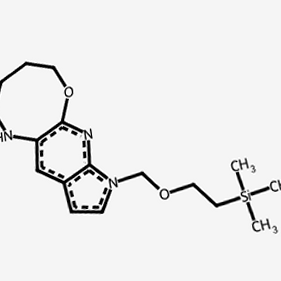 C[Si](C)(C)CCOCn1ccc2cc3c(nc21)OCCCCN3